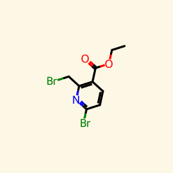 CCOC(=O)c1ccc(Br)nc1CBr